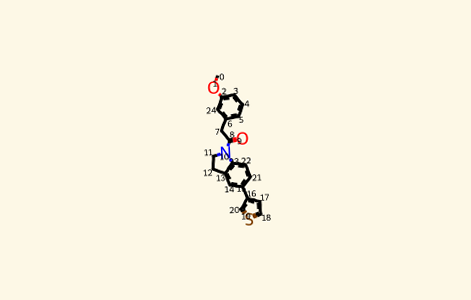 COc1cccc(CC(=O)N2CCc3cc(-c4ccsc4)ccc32)c1